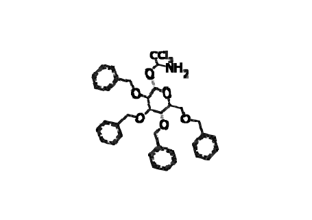 NC(O[C@@H]1OC(COCc2ccccc2)[C@H](OCc2ccccc2)C(OCc2ccccc2)C1OCc1ccccc1)C(Cl)(Cl)Cl